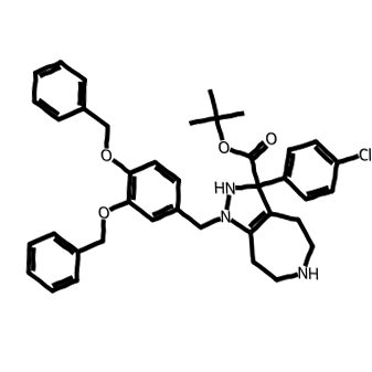 CC(C)(C)OC(=O)C1(c2ccc(Cl)cc2)NN(Cc2ccc(OCc3ccccc3)c(OCc3ccccc3)c2)C2=C1CCNCC2